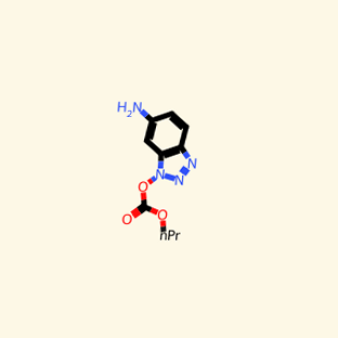 CCCOC(=O)On1nnc2ccc(N)cc21